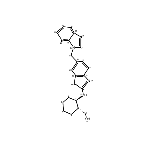 OC[C@@H]1CCCC[C@H]1Nc1nc2ccc(Cn3cnc4cccnc43)cc2s1